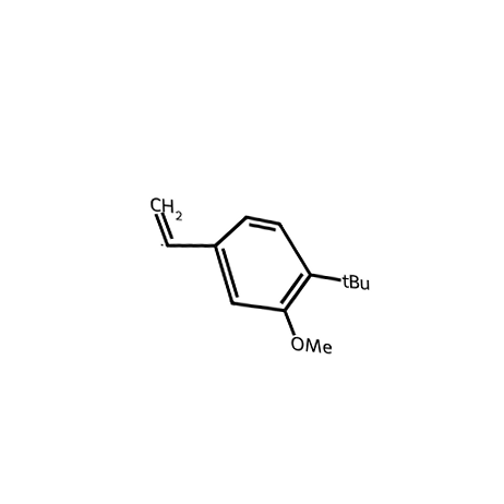 C=[C]c1ccc(C(C)(C)C)c(OC)c1